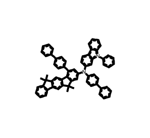 CC1(C)c2ccccc2-c2cc3c(cc21)-c1c(-c2ccc(-c4ccccc4)cc2)cc(N(c2ccc(-c4ccccc4)cc2)c2ccc4c5ccccc5n(-c5ccccc5)c4c2)cc1C3(C)C